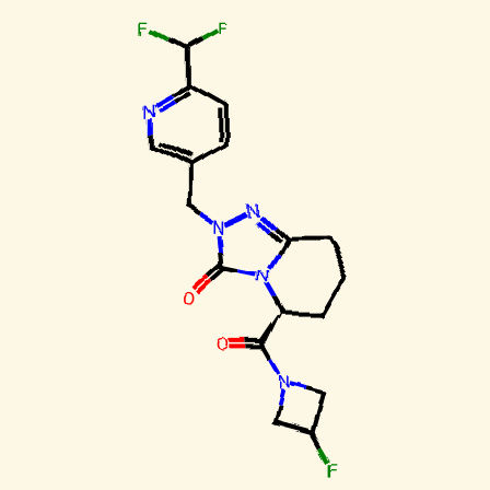 O=C([C@@H]1CCCc2nn(Cc3ccc(C(F)F)nc3)c(=O)n21)N1CC(F)C1